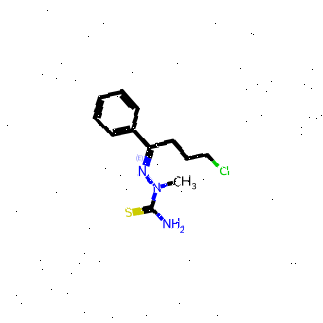 CN(/N=C(\CCCCl)c1ccccc1)C(N)=S